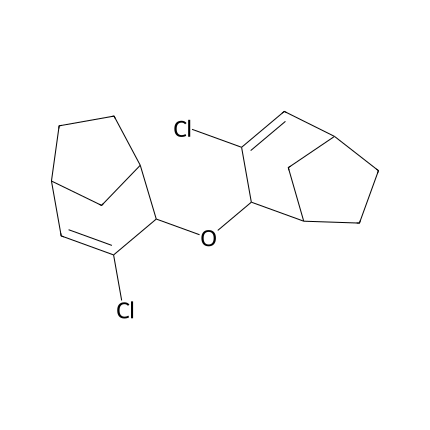 ClC1=CC2CCC(C2)C1OC1C(Cl)=CC2CCC1C2